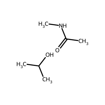 CC(C)O.CNC(C)=O